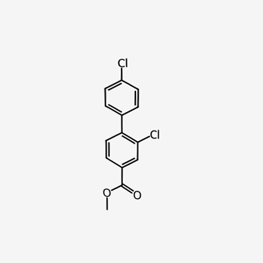 COC(=O)c1ccc(-c2ccc(Cl)cc2)c(Cl)c1